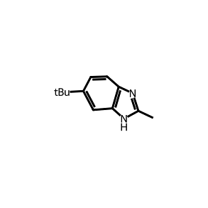 Cc1nc2ccc(C(C)(C)C)cc2[nH]1